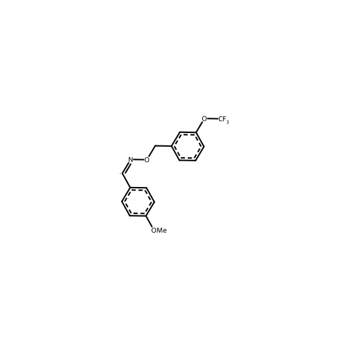 COc1ccc(/[C]=N\OCc2cccc(OC(F)(F)F)c2)cc1